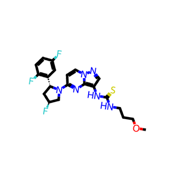 COCCCNC(=S)Nc1cnn2ccc(N3C[C@@H](F)C[C@@H]3c3cc(F)ccc3F)nc12